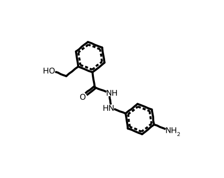 Nc1ccc(NNC(=O)c2ccccc2CO)cc1